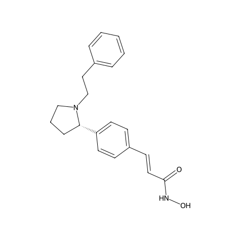 O=C(/C=C/c1ccc([C@@H]2CCCN2CCc2ccccc2)cc1)NO